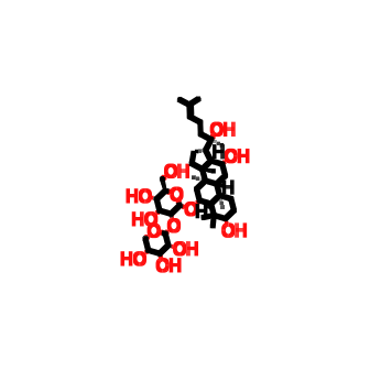 CC(C)=CCC[C@@](C)(O)[C@H]1CC[C@]2(C)[C@@H]1[C@H](O)C[C@@H]1[C@@]3(C)CC[C@H](O)C(C)(C)[C@@H]3[C@@H](O[C@@H]3O[C@H](CO)[C@@H](O)[C@H](O)[C@H]3O[C@@H]3OC[C@@H](O)[C@H](O)[C@H]3O)C[C@]12C